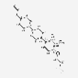 C=CCC1CCC(C2CC=C(c3ccc(OCCCC)c(F)c3F)CC2)CC1